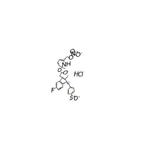 CC1=C(CC(=O)OC2(C)C=CC=C(CO[N+](=O)[O-])N2)c2cc(F)ccc2/C1=C\c1ccc([S+](C)[O-])cc1.Cl